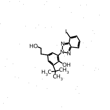 CC(C)(C)c1cc(CCO)cc(-n2nc3cccc(I)c3n2)c1O